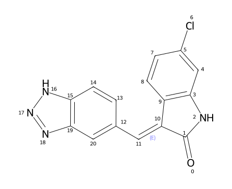 O=C1Nc2cc(Cl)ccc2/C1=C\c1ccc2[nH]nnc2c1